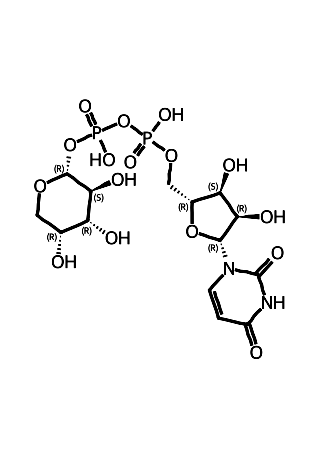 O=c1ccn([C@@H]2O[C@H](COP(=O)(O)OP(=O)(O)O[C@H]3OC[C@@H](O)[C@@H](O)[C@@H]3O)[C@@H](O)[C@H]2O)c(=O)[nH]1